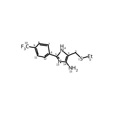 CCSCc1[nH]c(-c2ccc(C(F)(F)F)cc2)nc1N